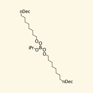 CCCCCCCCCCCCCCCCCCOOB(OOCCCCCCCCCCCCCCCCCC)OC(C)C